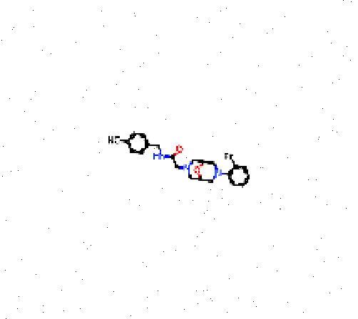 CCc1ccccc1N1CC2CN(CC(=O)NCc3ccc(C#N)cc3)CC(C1)O2